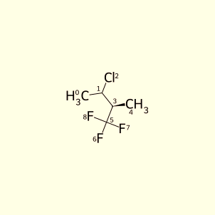 CC(Cl)[C@@H](C)C(F)(F)F